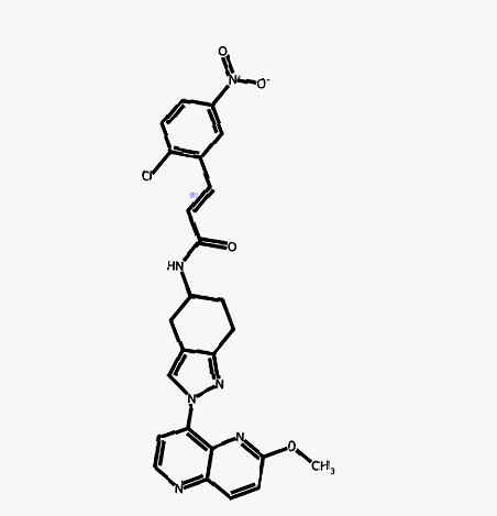 COc1ccc2nccc(-n3cc4c(n3)CCC(NC(=O)/C=C/c3cc([N+](=O)[O-])ccc3Cl)C4)c2n1